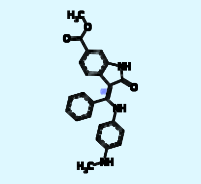 CNc1ccc(N/C(=C2\C(=O)Nc3cc(C(=O)OC)ccc32)c2ccccc2)cc1